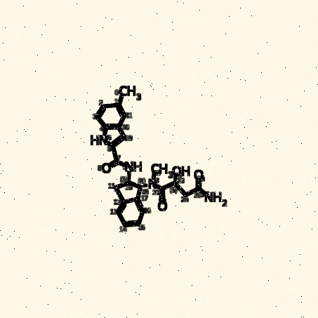 Cc1ccc2[nH]c(C(=O)N[C@@H]3Cc4ccccc4[C@H]3N(C)C(=O)[C@@H](O)CC(N)=O)cc2c1